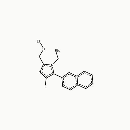 CCOCc1nc(I)c(-c2ccc3ccccc3c2)n1CC(C)(C)C